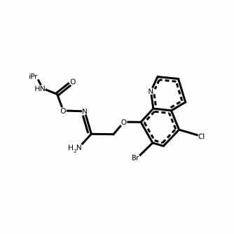 CC(C)NC(=O)ON=C(N)COc1c(Br)cc(Cl)c2cccnc12